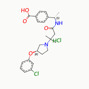 C[C@H](NC(=O)CC(C)(C)N1CC[C@@H](Oc2cccc(Cl)c2)C1)c1ccc(C(=O)O)cc1.Cl